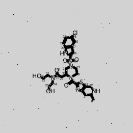 CC1Cc2nc(C(=O)N3CCN(S(=O)(=O)c4cc5cc(Cl)ccc5[nH]4)CC3CC(=O)N(CCO)CCO)sc2CN1